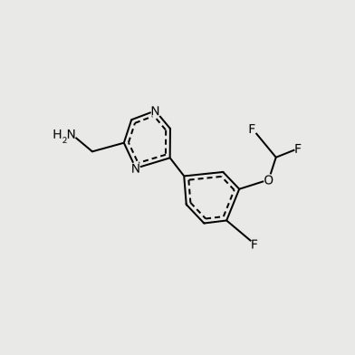 NCc1cncc(-c2ccc(F)c(OC(F)F)c2)n1